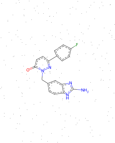 Nc1nc2cc(Cn3nc(-c4ccc(F)cc4)ccc3=O)ccc2[nH]1